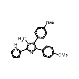 COc1ccc(-c2nc(-c3ccc[nH]3)n(C)c2-c2ccc(OC)cc2)cc1